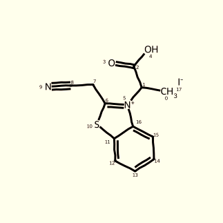 CC(C(=O)O)[n+]1c(CC#N)sc2ccccc21.[I-]